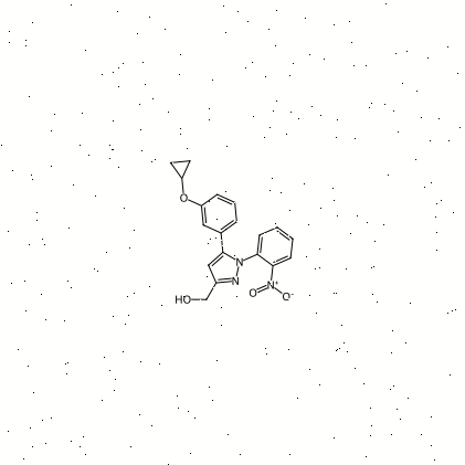 O=[N+]([O-])c1ccccc1-n1nc(CO)cc1-c1cccc(OC2CC2)c1